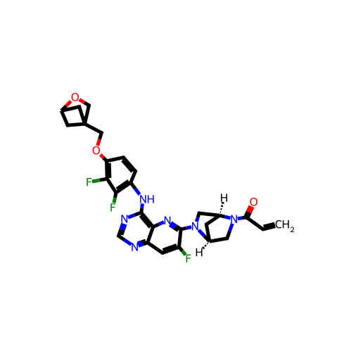 C=CC(=O)N1C[C@@H]2C[C@H]1CN2c1nc2c(Nc3ccc(OCC45COC(C4)C5)c(F)c3F)ncnc2cc1F